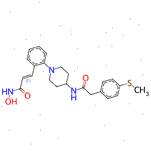 CSc1ccc(CC(=O)NC2CCN(c3ccccc3/C=C/C(=O)NO)CC2)cc1